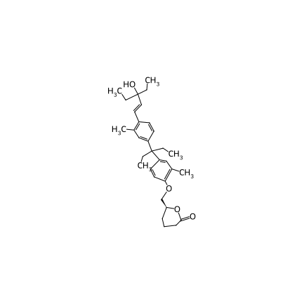 CCC(O)(C=Cc1ccc(C(CC)(CC)c2ccc(OC[C@@H]3CCCC(=O)O3)c(C)c2)cc1C)CC